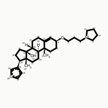 C[C@]12CC[C@H](OCCCN3CCCC3)C=C1CC[C@@H]1[C@@H]2CC[C@]2(C)[C@@H](c3ccoc3)CC[C@]12O